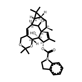 CC1=C[C@]23C(O)[C@@H](C=C4COC(C)(C)O[C@H]4[C@]2(O)[C@H]1OC(=O)N1CCc2ccccc21)[C@H]1[C@@H](C[C@H]3C)C1(C)C